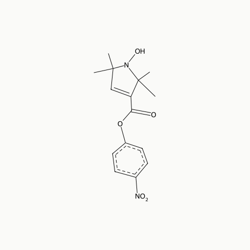 CC1(C)C=C(C(=O)Oc2ccc([N+](=O)[O-])cc2)C(C)(C)N1O